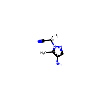 Cc1c(N)cnn1[C@@H](C)C#N